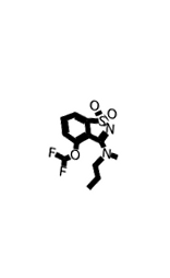 CCCN(C)C1=NS(=O)(=O)c2cccc(OC(F)F)c21